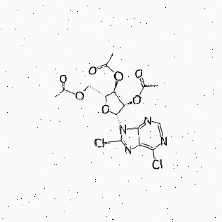 CC(=O)OC[C@H]1O[C@@H](n2c(Cl)nc3c(Cl)ncnc32)[C@H](OC(C)=O)[C@@H]1OC(C)=O